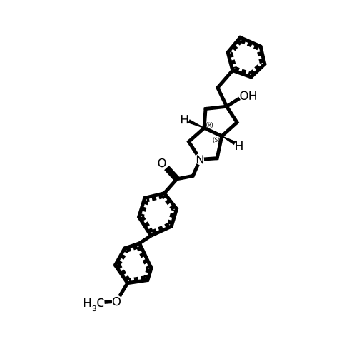 COc1ccc(-c2ccc(C(=O)CN3C[C@@H]4CC(O)(Cc5ccccc5)C[C@@H]4C3)cc2)cc1